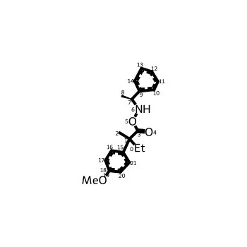 CCC(C)(C(=O)ON[C@@H](C)c1ccccc1)c1ccc(OC)cc1